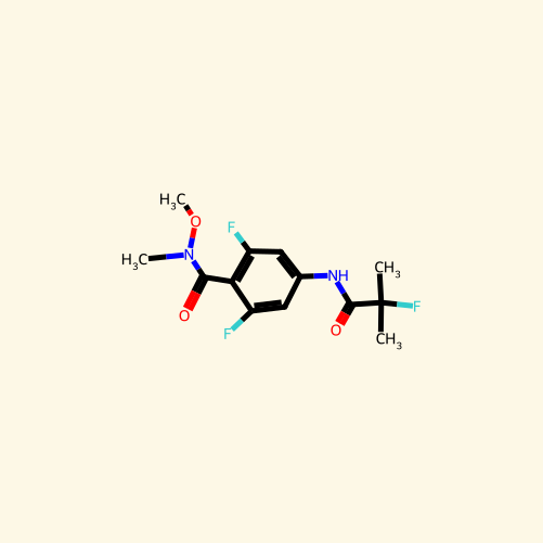 CON(C)C(=O)c1c(F)cc(NC(=O)C(C)(C)F)cc1F